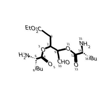 CCOC(=O)CC(OC(=O)[C@@H](N)[C@@H](C)CC)C(C=O)OC(=O)[C@@H](N)[C@@H](C)CC